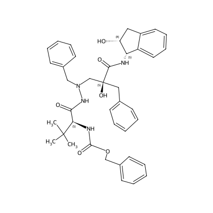 CC(C)(C)[C@H](NC(=O)OCc1ccccc1)C(=O)NN(Cc1ccccc1)C[C@@](O)(Cc1ccccc1)C(=O)N[C@H]1c2ccccc2C[C@H]1O